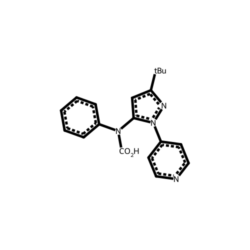 CC(C)(C)c1cc(N(C(=O)O)c2ccccc2)n(-c2ccncc2)n1